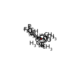 Cc1nn(C)c(CN2C(=O)C(C)(C)c3ccc(C(=O)NCc4cc5cc(F)c(F)cc5o4)cc32)c1F